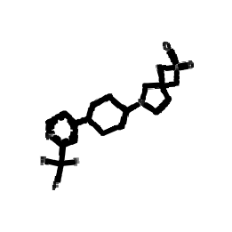 O=S1(=O)CC2(CCN(C3CCC(c4ccnc(C(F)(F)F)c4)CC3)C2)C1